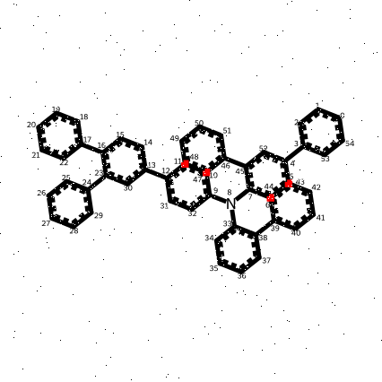 c1ccc(-c2ccc(N(c3ccc(-c4ccc(-c5ccccc5)c(-c5ccccc5)c4)cc3)c3ccccc3-c3ccccc3)c(-c3ccccc3)c2)cc1